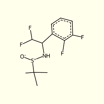 CC(C)(C)[S+]([O-])NC(c1cccc(F)c1F)C(F)F